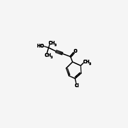 CC1C=C(Cl)C=CC1C(=O)C#CC(C)(C)O